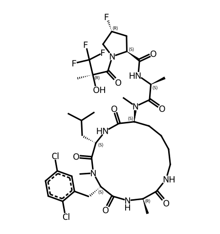 CC(C)C[C@@H]1NC(=O)[C@@H](N(C)C(=O)[C@H](C)NC(=O)[C@@H]2C[C@@H](F)CN2C(=O)[C@@](C)(O)C(F)(F)F)CCCCNC(=O)[C@@H](C)NC(=O)[C@H](Cc2cc(Cl)ccc2Cl)N(C)C1=O